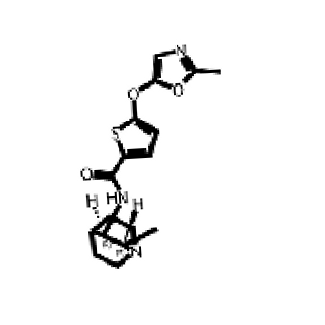 Cc1ncc(Oc2ccc(C(=O)N[C@@H]3C4CCN(CC4)[C@H]3C)s2)o1